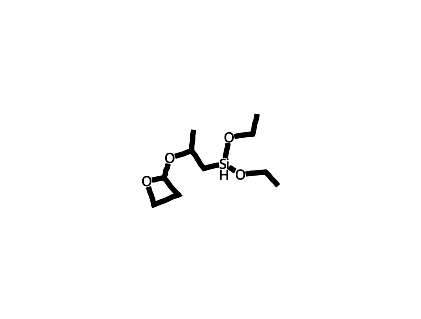 CCO[SiH](CC(C)OC1CCO1)OCC